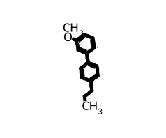 CCCc1ccc(-c2[c]ccc(OC)c2)cc1